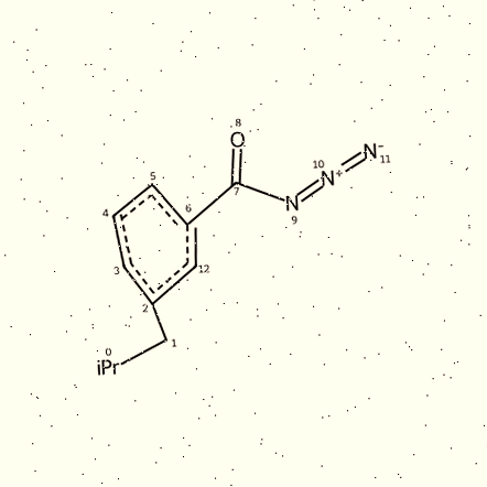 CC(C)Cc1cccc(C(=O)N=[N+]=[N-])c1